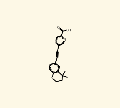 CC1(C)CCSc2ccc(C#Cc3cnc(C(=O)O)cn3)cc21